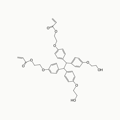 C=CC(=O)OCCOc1ccc(C(c2ccc(OCCO)cc2)C(c2ccc(OCCO)cc2)c2ccc(OCCOC(=O)C=C)cc2)cc1